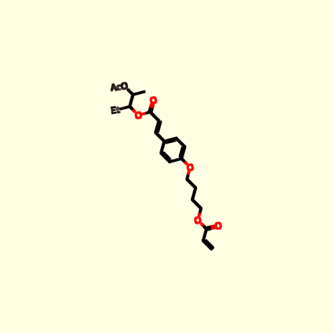 C=CC(=O)OCCCCOc1ccc(C=CC(=O)OC(CC)C(C)OC(C)=O)cc1